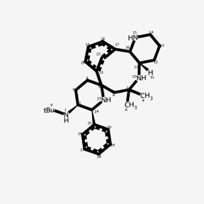 CC(C)(C)N[C@H]1CCC2(CC(C)(C)N[C@H]3CCCNC3c3cccc2c3)N[C@H]1c1ccccc1